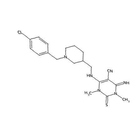 Cn1c(NCC2CCCN(Cc3ccc(Cl)cc3)C2)c(C#N)c(=N)n(C)c1=S